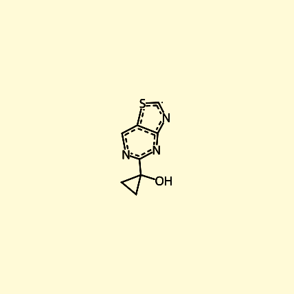 OC1(c2ncc3s[c]nc3n2)CC1